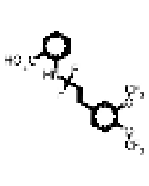 O=C(O)c1ccccc1NC(F)(F)/C=C/c1ccc(OC(F)(F)F)c(OC(F)(F)F)c1